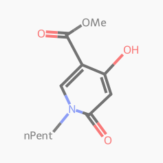 CCCCCn1cc(C(=O)OC)c(O)cc1=O